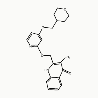 Cc1c(COc2cc(OCC3CCOCC3)ccn2)[nH]c2ccccc2c1=O